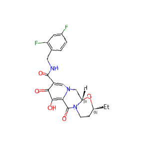 CC[C@H]1CCN2C(=O)c3c(O)c(=O)c(C(=O)NCc4ccc(F)cc4F)cn3C[C@@H]2O1